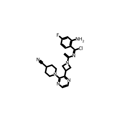 C=C(/N=C(/Cl)c1ccc(F)cc1N)N1CC(c2nccnc2N2CCC(C#N)CC2)C1